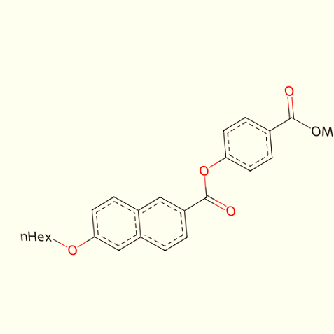 CCCCCCOc1ccc2cc(C(=O)Oc3ccc(C(=O)OC)cc3)ccc2c1